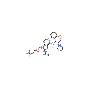 C[Si](C)(C)CCOCn1c(C(F)(F)F)cc2c(N[C@H]3c4ccccc4OC[C@@H]3N3CCCC3)nccc21